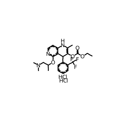 CCOC(=O)OC1=C(C)Nc2ccnc(OC(C)CN(C)C)c2C1c1ccccc1C(F)(F)F.Cl.Cl